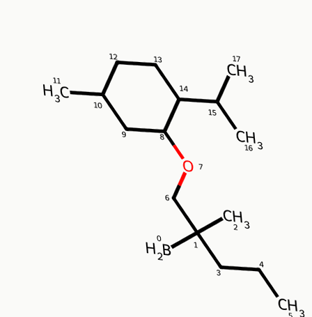 BC(C)(CCC)COC1CC(C)CCC1C(C)C